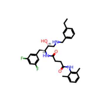 CCc1cccc(CNC[C@@H](O)[C@H](Cc2cc(F)cc(F)c2)NC(=O)CCC(=O)Nc2c(C)cccc2C)c1